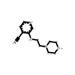 N#Cc1ccncc1OCCN1CCOCC1